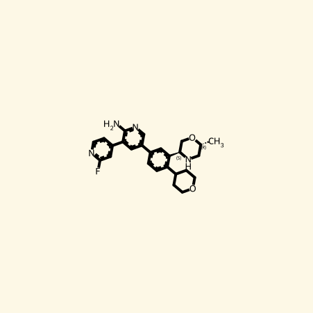 C[C@@H]1CN[C@@H](c2cc(-c3cnc(N)c(-c4ccnc(F)c4)c3)ccc2C2CCOCC2)CO1